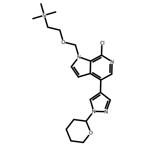 C[Si](C)(C)CCOCn1ccc2c(-c3cnn(C4CCCCO4)c3)cnc(Cl)c21